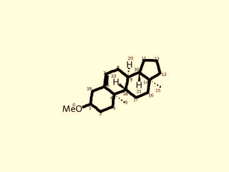 COC1CC[C@@]2(C)C(=CC[C@H]3[C@@H]4CCC[C@@]4(C)CC[C@@H]32)C1